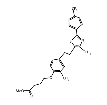 COC(=O)CCCOc1ccc(CCc2sc(-c3ccc(C(F)(F)F)cc3)nc2C)cc1C